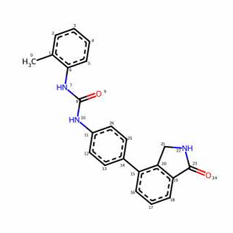 Cc1ccccc1NC(=O)Nc1ccc(-c2cccc3c2CNC3=O)cc1